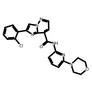 O=C(Nc1cccc(N2CCOCC2)n1)c1ccnn2cc(-c3ccccc3Cl)nc12